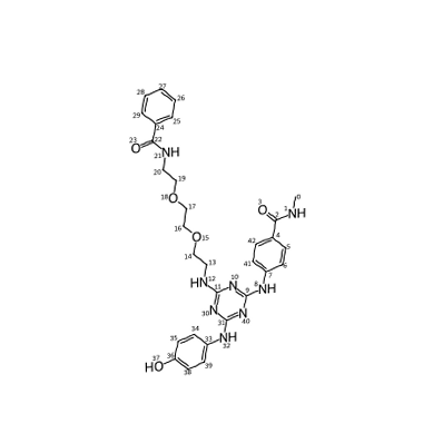 CNC(=O)c1ccc(Nc2nc(NCCOCCOCCNC(=O)c3ccccc3)nc(Nc3ccc(O)cc3)n2)cc1